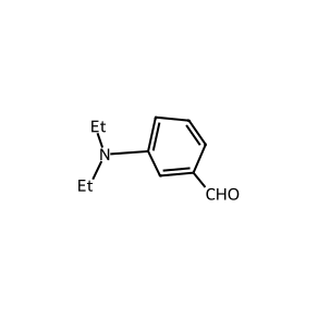 CCN(CC)c1cccc(C=O)c1